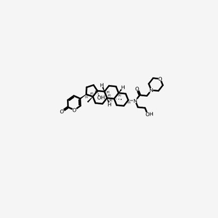 C[C@@]12CC[C@@H](N(CCO)C(=O)CN3CCOCC3)C[C@H]1CC[C@@H]1[C@H]2CC[C@]2(C)[C@@H](c3ccc(=O)oc3)CC[C@@]12O